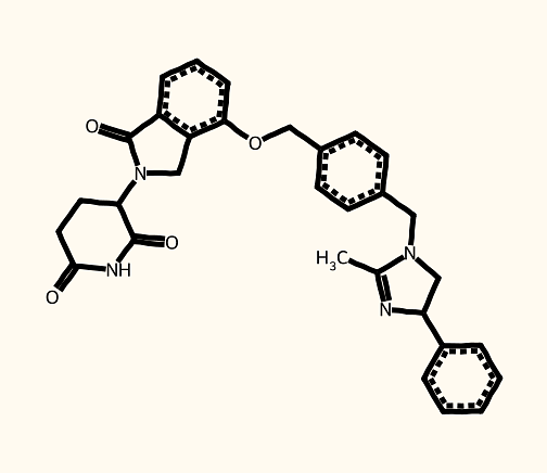 CC1=NC(c2ccccc2)CN1Cc1ccc(COc2cccc3c2CN(C2CCC(=O)NC2=O)C3=O)cc1